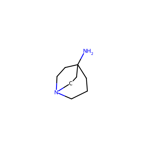 NC12CCCN(CC1)CC2